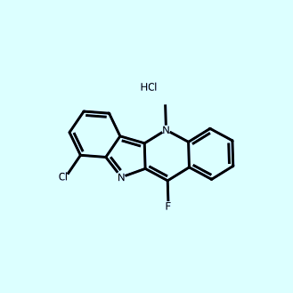 Cl.Cn1c2c3cccc(Cl)c3nc-2c(F)c2ccccc21